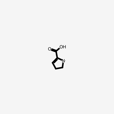 O=C(O)C1=CCC[N]1